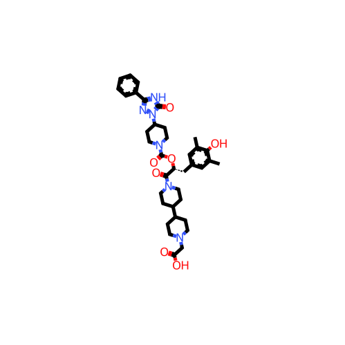 Cc1cc(C[C@@H](OC(=O)N2CCC(n3nc(-c4ccccc4)[nH]c3=O)CC2)C(=O)N2CCC(C3CCN(CC(=O)O)CC3)CC2)cc(C)c1O